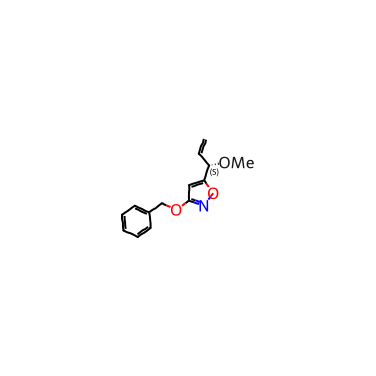 C=C[C@H](OC)c1cc(OCc2ccccc2)no1